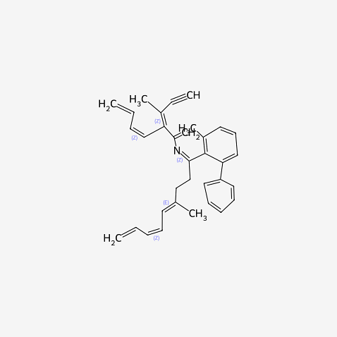 C#C/C(C)=C(/C=C\C=C)C(=C)/N=C(/CC/C(C)=C/C=C\C=C)c1c(C)cccc1-c1ccccc1